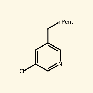 CCCCCCc1cncc(Cl)c1